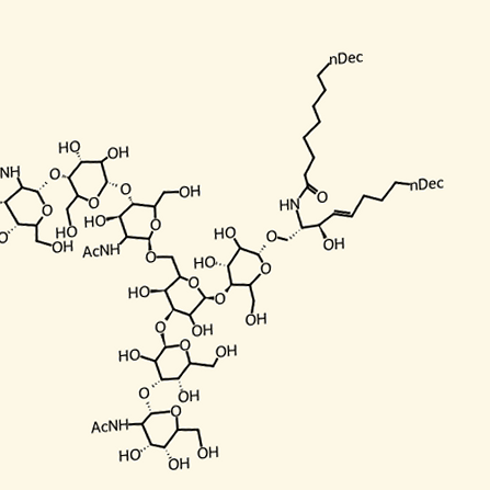 CCCCCCCCCCCCC/C=C/[C@@H](O)[C@H](CO[C@@H]1OC(CO)[C@@H](O[C@@H]2OC(CO[C@@H]3OC(CO)[C@@H](O[C@@H]4OC(CO)[C@H](O[C@@H]5OC(CO)[C@H](O)[C@H](O)C5NC(C)=O)[C@H](O)C4O)[C@H](O)C3NC(C)=O)[C@H](O)[C@H](O[C@H]3OC(CO)[C@H](O)[C@H](O[C@@H]4OC(CO)[C@H](O)[C@H](O)C4NC(C)=O)C3O)C2O)[C@H](O)C1O)NC(=O)CCCCCCCCCCCCCCCCC